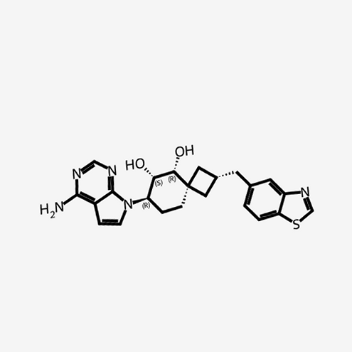 Nc1ncnc2c1ccn2[C@@H]1CC[C@]2(C[C@@H](Cc3ccc4scnc4c3)C2)[C@@H](O)[C@H]1O